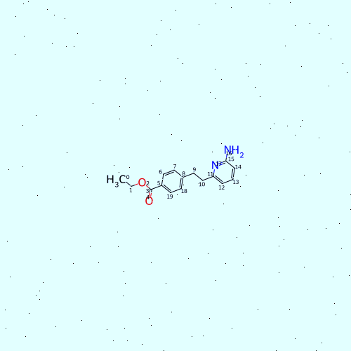 CCOC(=O)c1ccc(CCc2cccc(N)n2)cc1